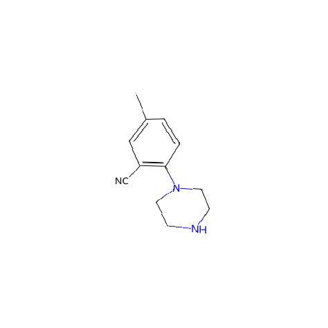 Cc1ccc(N2CCNCC2)c(C#N)c1